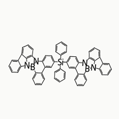 c1ccc([Si](c2ccccc2)(c2ccc3c(c2)-c2ccccc2B2N3c3cccc4c5ccccc5n2c34)c2ccc3c(c2)-c2ccccc2B2N3c3cccc4c5ccccc5n2c34)cc1